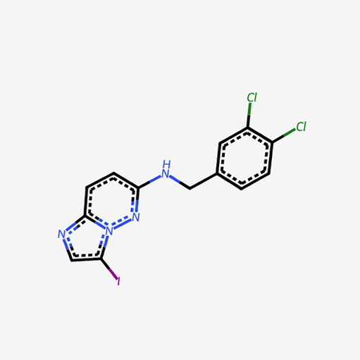 Clc1ccc(CNc2ccc3ncc(I)n3n2)cc1Cl